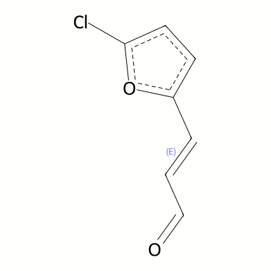 O=C/C=C/c1ccc(Cl)o1